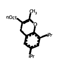 CCCCCCCCC1=C(C)Oc2c(cc(C(C)C)cc2C(C)C)C1